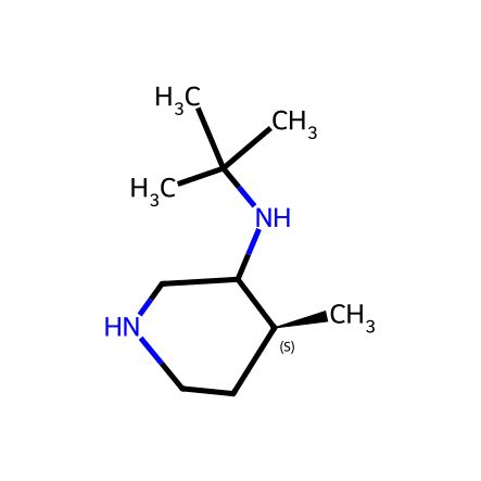 C[C@H]1CCNCC1NC(C)(C)C